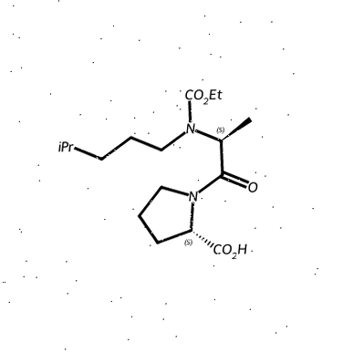 CCOC(=O)N(CCCC(C)C)[C@@H](C)C(=O)N1CCC[C@H]1C(=O)O